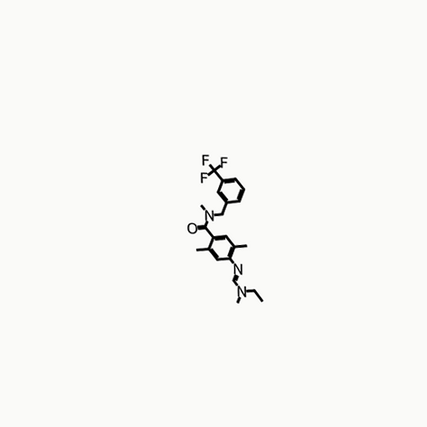 CCN(C)C=Nc1cc(C)c(C(=O)N(C)Cc2cccc(C(F)(F)F)c2)cc1C